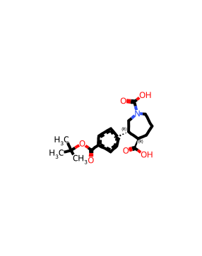 CC(C)(C)OC(=O)c1ccc([C@@H]2CN(C(=O)O)CCC[C@H]2C(=O)O)cc1